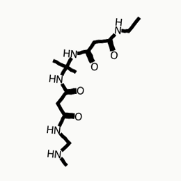 CCNC(=O)CC(=O)NC(C)(C)NC(=O)CC(=O)NCNC